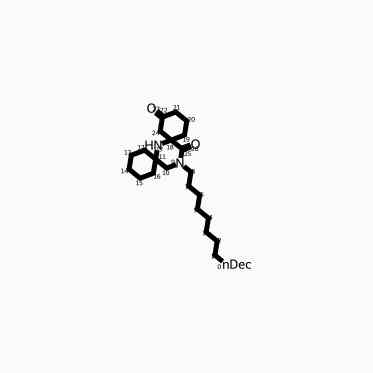 CCCCCCCCCCCCCCCCCCN1CC2(CCCCC2)NC2(CCCC(=O)C2)C1=O